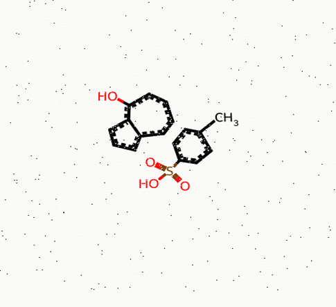 Cc1ccc(S(=O)(=O)O)cc1.Oc1ccccc2cccc1-2